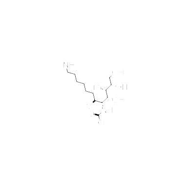 CC(=O)N[C@@H](C(=O)CCCCCCN)[C@@H](O)[C@@H](O)[C@H](O)CO